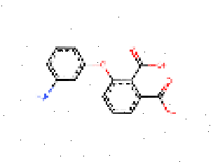 Nc1cccc(Oc2cccc(C(=O)O)c2C(=O)O)c1